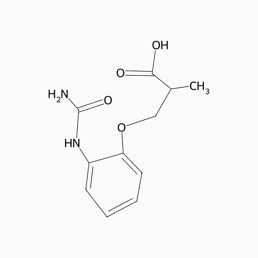 CC(COc1ccccc1NC(N)=O)C(=O)O